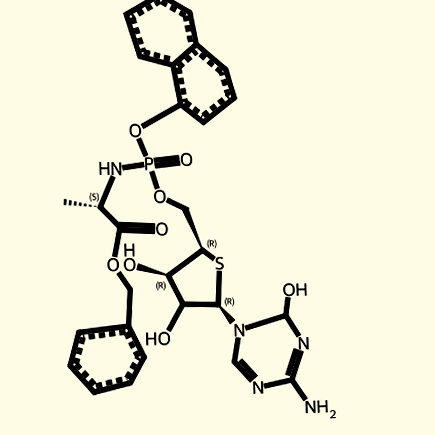 C[C@H](NP(=O)(OC[C@H]1S[C@@H](N2C=NC(N)=NC2O)C(O)[C@H]1O)Oc1cccc2ccccc12)C(=O)OCc1ccccc1